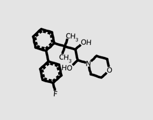 CC(C)(c1ccccc1-c1ccc(F)cc1)C(O)C(O)N1CCOCC1